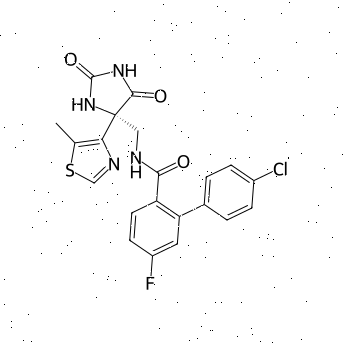 Cc1scnc1[C@@]1(CNC(=O)c2ccc(F)cc2-c2ccc(Cl)cc2)NC(=O)NC1=O